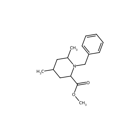 COC(=O)C1CC(C)CC(C)N1Cc1ccccc1